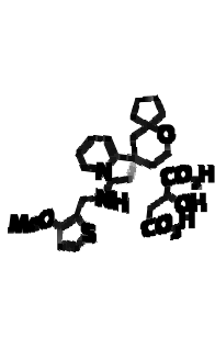 COc1ccsc1CNCC[C@@]1(c2ccccn2)CCOC2(CCCC2)C1.O=C(O)CC(O)C(=O)O